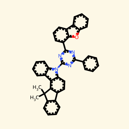 CC1(C)c2ccccc2-c2ccc3c(c21)c1ccccc1n3-c1nc(-c2ccccc2)nc(-c2cccc3c2oc2ccccc23)n1